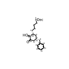 CCCCCCCCCCCCCC[C@@H]1C[C@H](Cc2ccccc2)CC(=O)N1O